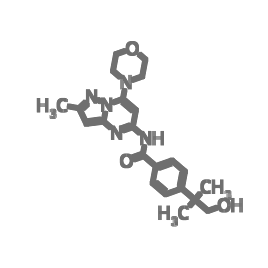 Cc1cc2nc(NC(=O)c3ccc(C(C)(C)CO)cc3)cc(N3CCOCC3)n2n1